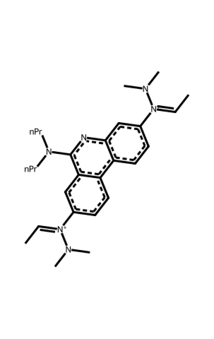 CC=[N+](c1ccc2c(c1)nc(N(CCC)CCC)c1cc([N+](=CC)N(C)C)ccc12)N(C)C